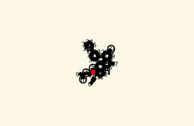 CC#C[C@]1(C(=O)COC(C)=O)CC[C@H]2[C@@H]3CC(C)C4=CC(=O)CCC4=C3[C@@H](c3ccc(N4CCCC4)cc3)C[C@@]21C